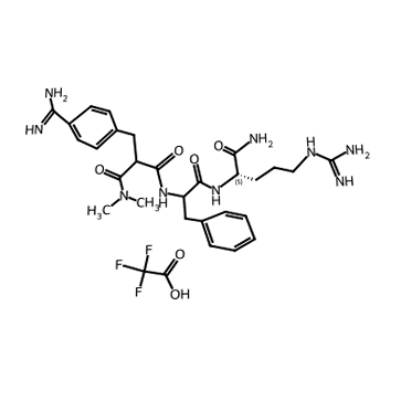 CN(C)C(=O)C(Cc1ccc(C(=N)N)cc1)C(=O)NC(Cc1ccccc1)C(=O)N[C@@H](CCCNC(=N)N)C(N)=O.O=C(O)C(F)(F)F